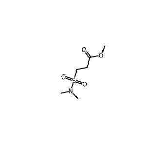 COC(=O)CCS(=O)(=O)N(C)C